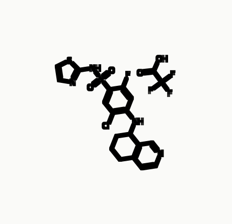 O=C(O)C(F)(F)F.O=S(=O)(Nc1nccs1)c1cc(Cl)c(NC2CCCc3ccncc32)cc1F